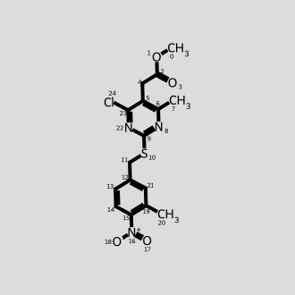 COC(=O)Cc1c(C)nc(SCc2ccc([N+](=O)[O-])c(C)c2)nc1Cl